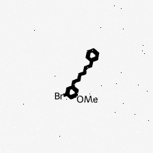 COc1cc(Br)cc(CCCCCCc2ccccc2)c1